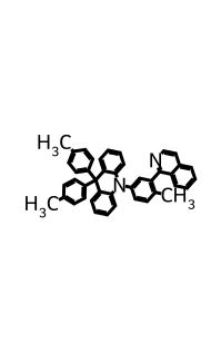 Cc1ccc(C2(c3ccc(C)cc3)c3ccccc3N(c3ccc(C)c(-c4nccc5ccccc45)c3)c3ccccc32)cc1